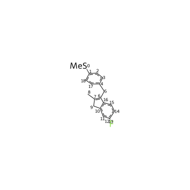 CSc1ccc(CC2=C(C)Cc3cc(F)ccc32)cc1